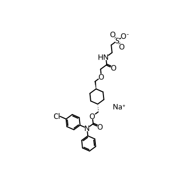 O=C(COC[C@H]1CC[C@H](COC(=O)N(c2ccccc2)c2ccc(Cl)cc2)CC1)NCCS(=O)(=O)[O-].[Na+]